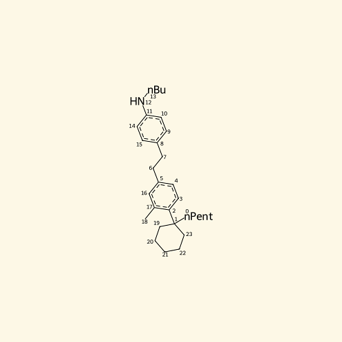 CCCCCC1(c2ccc(CCc3ccc(NCCCC)cc3)cc2C)CCCCC1